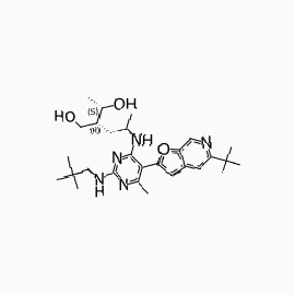 Cc1nc(NCC(C)(C)C)nc(NC(C)C[C@H](CO)[C@H](C)O)c1-c1cc2cc(C(C)(C)C)ncc2o1